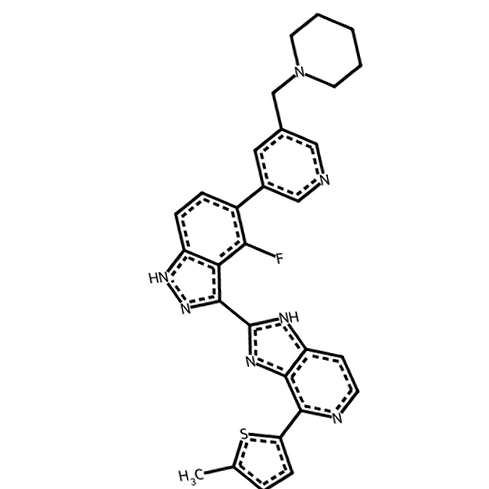 Cc1ccc(-c2nccc3[nH]c(-c4n[nH]c5ccc(-c6cncc(CN7CCCCC7)c6)c(F)c45)nc23)s1